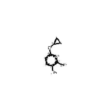 CC(C)c1ccc(OC2CC2)nc1C(C)C